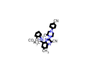 Cc1cc([C@@H](C)Nc2ccccc2C(=O)O)c2nc(N3CCN(c4ccc(C#N)cc4)CC3C)c(C#N)nc2c1